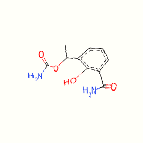 CC(OC(N)=O)c1cccc(C(N)=O)c1O